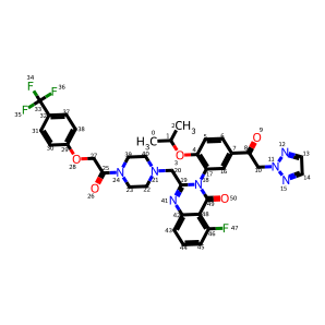 CC(C)Oc1ccc(C(=O)Cn2nccn2)cc1-n1c(CN2CCN(C(=O)COc3ccc(C(F)(F)F)cc3)CC2)nc2cccc(F)c2c1=O